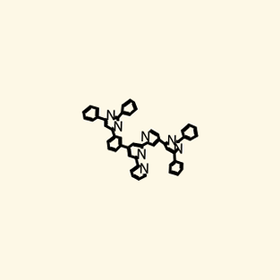 c1ccc(-c2cc(-c3cccc(-c4cc(-c5ccccn5)nc(-c5cc(-c6cc(-c7ccccc7)nc(-c7ccccc7)n6)ccn5)c4)c3)nc(-c3ccccc3)n2)cc1